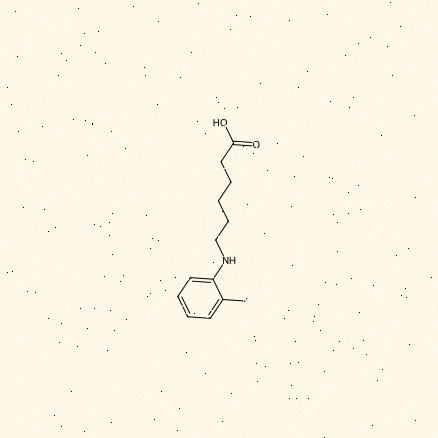 Cc1ccccc1NCCCCCC(=O)O